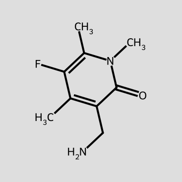 Cc1c(F)c(C)n(C)c(=O)c1CN